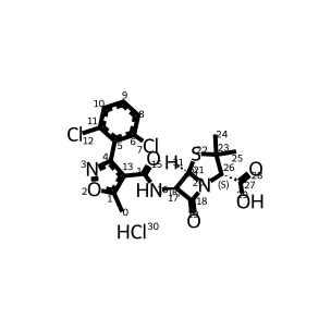 Cc1onc(-c2c(Cl)cccc2Cl)c1C(=O)N[C@@H]1C(=O)N2[C@@H]1SC(C)(C)[C@@H]2C(=O)O.Cl